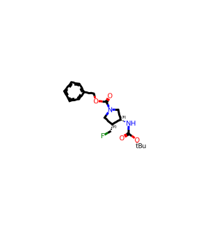 CC(C)(C)OC(=O)N[C@H]1CN(C(=O)OCc2ccccc2)C[C@H]1CF